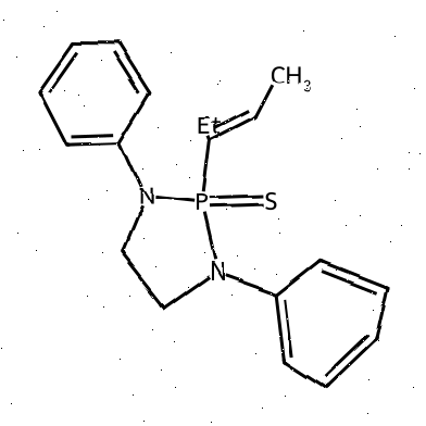 C/C=C(\CC)P1(=S)N(c2ccccc2)CCN1c1ccccc1